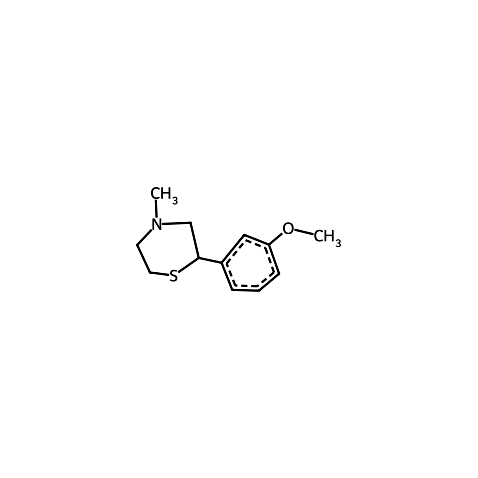 COc1cccc(C2CN(C)CCS2)c1